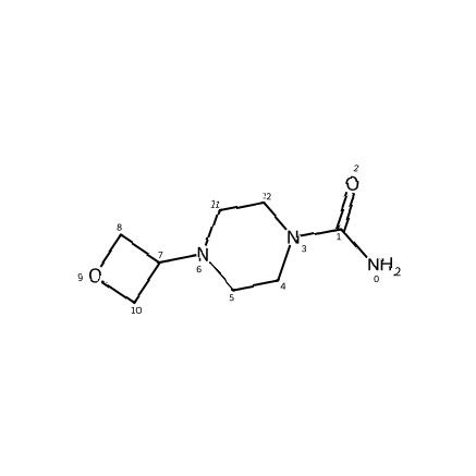 NC(=O)N1CCN(C2COC2)CC1